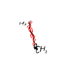 COCCOCCOCCOCCOCCOc1ccc(C)cc1